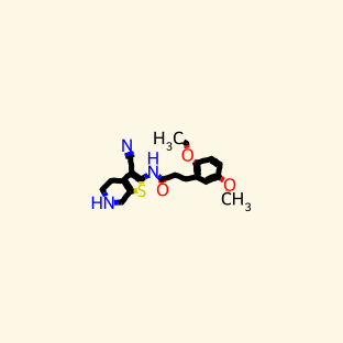 CCOc1ccc(OC)cc1CCC(=O)Nc1sc2c(c1C#N)CCNC2